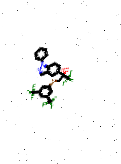 OC(CSc1cc(C(F)(F)F)cc(C(F)(F)F)c1)(c1ccc2c(cnn2-c2ccccc2)c1)C(F)(F)F